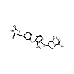 Cc1c(Oc2cccc(/C=C3\SC(=O)NC3=O)c2)ncnc1OC1CCN(C(=O)O)C(C)C1